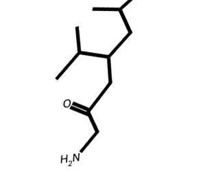 CC(C)CC(CC(=O)CN)C(C)C